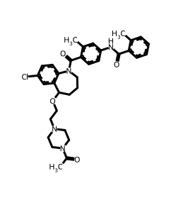 CC(=O)N1CCN(CCOC2CCCN(C(=O)c3ccc(NC(=O)c4ccccc4C)cc3C)c3ccc(Cl)cc32)CC1